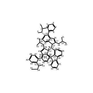 CCC(C)c1ccccc1-c1cccc2c1C=C(CC(C)C)[CH]2[Zr]([c]1cccc2c1[SiH2]c1ccccc1-2)[CH]1C(CC(C)C)=Cc2c(-c3ccccc3C(C)CC)cccc21